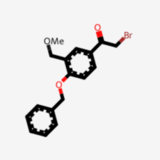 COCc1cc(C(=O)CBr)ccc1OCc1ccccc1